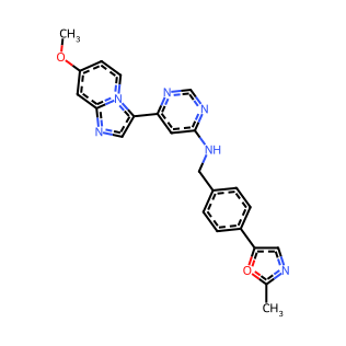 COc1ccn2c(-c3cc(NCc4ccc(-c5cnc(C)o5)cc4)ncn3)cnc2c1